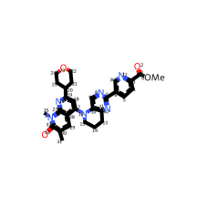 COC(=O)c1ccc(-c2ncc3c(n2)CCCN3c2cc(C3CCOCC3)nc3c2cc(C)c(=O)n3C)cn1